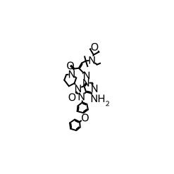 CCN(C1COC1)C(C)(C)C=C(C#N)C(=O)N1CCCC(n2c(=O)n(-c3ccc(Oc4ccccc4)cc3)c3c(N)ncnc32)C1